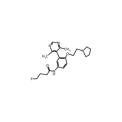 Cc1ncnc(C)c1-c1cc(NC(=O)CCCF)ccc1OCCN1CCCC1